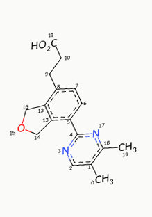 Cc1cnc(-c2ccc(CCC(=O)O)c3c2COC3)nc1C